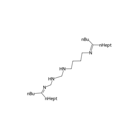 CCCCCCCC(CCCC)=NCCCCNCNCN=C(CCCC)CCCCCCC